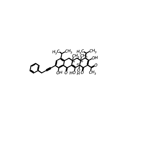 CC(=O)C1=C(O)C(C(C)C)[C@@]2(C)C[C@@]3(C)Cc4c(C(C)C)cc(C#CCc5ccccc5)c(O)c4C(=O)C3=C(O)[C@@]2(O)C1=O